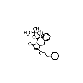 CC(C)(C)OC(=O)N1C(=O)C=C(OCCC2CCCCC2)[C@@H]1Cc1ccccc1